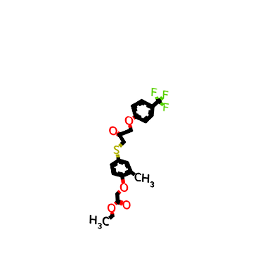 CCOC(=O)COc1ccc(SCC(=O)COc2ccc(C(F)(F)F)cc2)cc1C